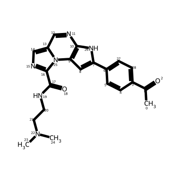 CC(=O)c1ccc(-c2cc3c(ncc4cnc(C(=O)NCCN(C)C)n43)[nH]2)cc1